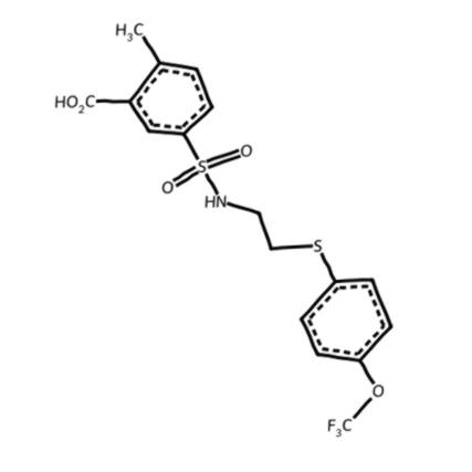 Cc1ccc(S(=O)(=O)NCCSc2ccc(OC(F)(F)F)cc2)cc1C(=O)O